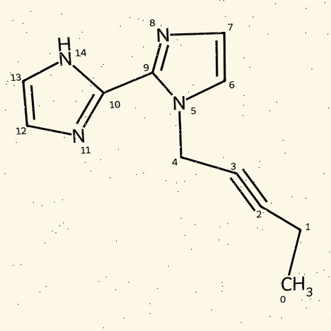 CCC#CCn1ccnc1-c1ncc[nH]1